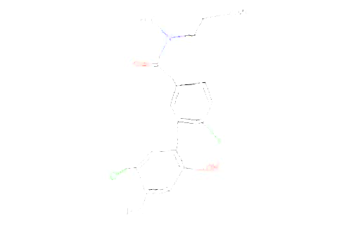 COCCN(C)C(=O)c1ccc(F)c(-c2cc(Cl)c(C)cc2O)c1